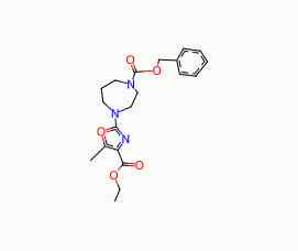 CCOC(=O)c1nc(N2CCCN(C(=O)OCc3ccccc3)CC2)oc1C